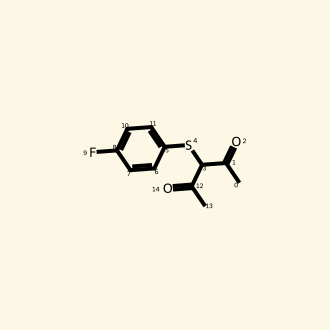 CC(=O)C(Sc1ccc(F)cc1)C(C)=O